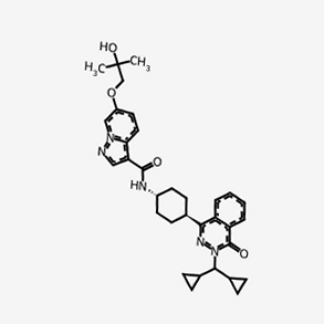 CC(C)(O)COc1ccc2c(C(=O)N[C@H]3CC[C@H](c4nn(C(C5CC5)C5CC5)c(=O)c5ccccc54)CC3)cnn2c1